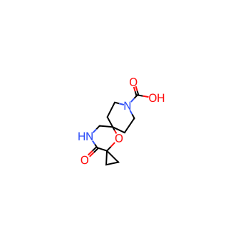 O=C(O)N1CCC2(CC1)CNC(=O)C1(CC1)O2